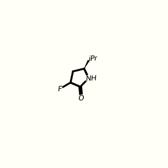 CC(C)[C@@H]1CC(F)C(=O)N1